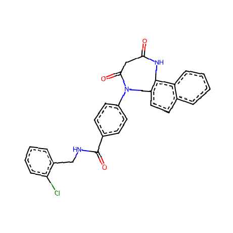 O=C1CC(=O)N(c2ccc(C(=O)NCc3ccccc3Cl)cc2)c2ccc3ccccc3c2N1